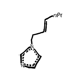 CCCC=CCn1[c]ncc1